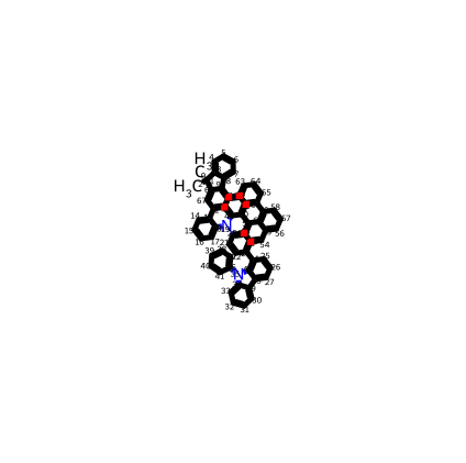 CC1(C)c2ccccc2-c2ccc(-c3ccccc3N(c3ccc(-c4cccc5c6ccccc6n(-c6ccccc6)c45)cc3)c3ccccc3-c3cccc4cccc(-c5ccccc5)c34)cc21